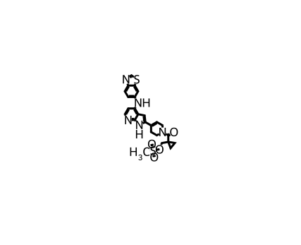 CS(=O)(=O)OCC1(C(=O)N2CC=C(c3cc4c(Nc5ccc6ncsc6c5)ccnc4[nH]3)CC2)CC1